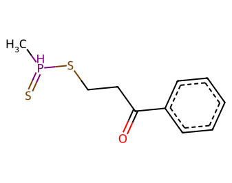 C[PH](=S)SCCC(=O)c1ccccc1